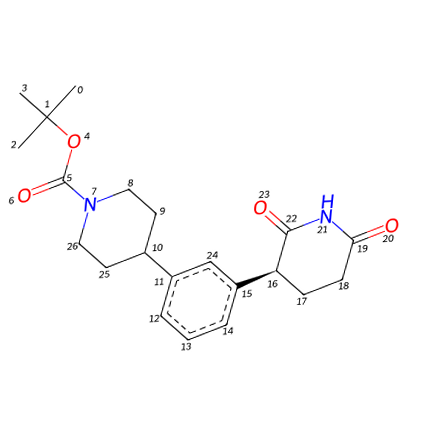 CC(C)(C)OC(=O)N1CCC(c2cccc([C@@H]3CCC(=O)NC3=O)c2)CC1